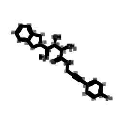 C=C([C@H](O)[C@@H](C)C(=O)NCC#Cc1ccc(F)cc1)N1Cc2ccccc2C1